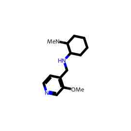 CNC1CCCCC1NCc1ccncc1OC